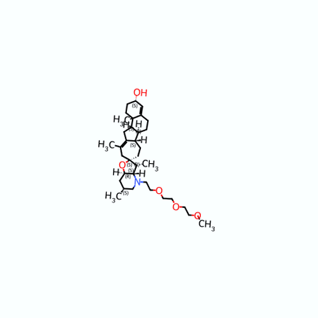 COCCOCCOCCN1C[C@@H](C)C[C@H]2O[C@]3(CC[C@@H]4C(=C(C)C3)C[C@H]3[C@H]4CCC4=C[C@@H](O)CCC43C)[C@H](C)[C@@H]21